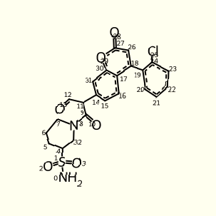 NS(=O)(=O)C1CCCN(C(=O)C(C=O)c2ccc3c(-c4ccccc4Cl)cc(=O)oc3c2)C1